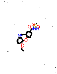 CCOc1ccccc1Oc1ccc(C(=O)NS(C)(=O)=O)cc1C#N